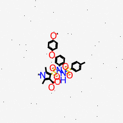 COC(=O)c1c(S(=O)(=O)N(NS(=O)(=O)c2ccc(C)cc2)c2cccc(Oc3ccc(OC)cc3)c2)c(C)n(C)c1C